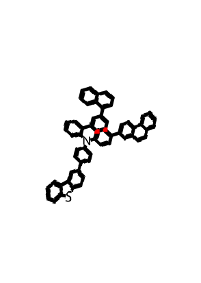 c1cc(-c2ccccc2N(c2ccc(-c3ccc4c(ccc5ccccc54)c3)cc2)c2ccc(-c3ccc4sc5ccccc5c4c3)cc2)cc(-c2cccc3ccccc23)c1